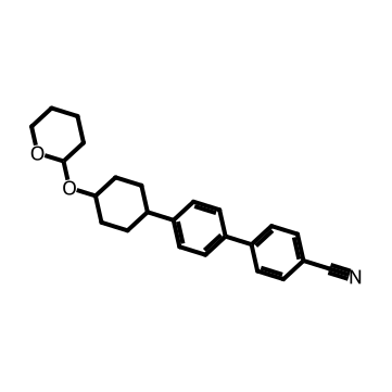 N#Cc1ccc(-c2ccc(C3CCC(OC4CCCCO4)CC3)cc2)cc1